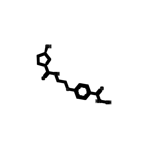 O=C(NO)c1ccc(OCCNC(=O)N2CC[C@@H](O)C2)cc1